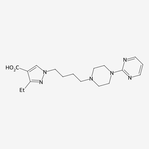 CCc1nn(CCCCN2CCN(c3ncccn3)CC2)cc1C(=O)O